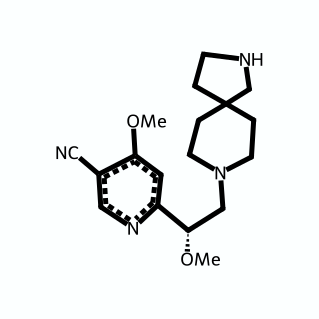 COc1cc([C@H](CN2CCC3(CCNC3)CC2)OC)ncc1C#N